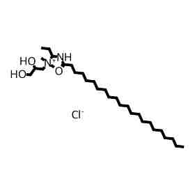 CCCCCCCCCCCCCCCCCCCCCC(=O)NC(CC)[N+](C)(C)CC(O)CO.[Cl-]